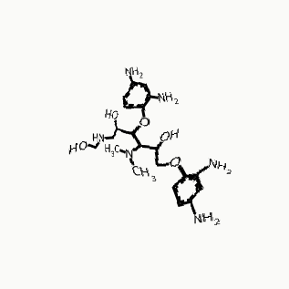 CN(C)C(C(O)COc1ccc(N)cc1N)C(Oc1ccc(N)cc1N)C(O)CNCO